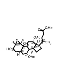 COC(=O)CC[C@@H](C)[C@H]1CC[C@H]2C3C(C[C@H](OC(C)=O)[C@]12C)[C@]1(C)[C@H](C[C@H]3OC(C)=O)C[C@H](O)[C@@H]2O[C@@H]21